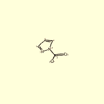 [O]C(=O)n1cccn1